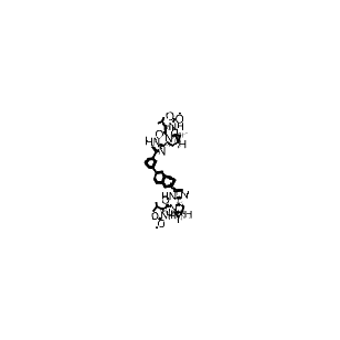 COC(=O)N[C@H](C(=O)N1[C@@H]2[C@H](C)[C@@H]2C[C@H]1c1nc(-c2cccc(-c3ccc4cc(-c5cnc([C@@H]6C[C@H]7[C@@H](C)[C@H]7N6C(=O)[C@@H](NC(=O)OC)C(C)C)[nH]5)ccc4c3)c2)c[nH]1)C(C)C